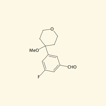 COC1(c2cc(F)cc(C=O)c2)CCOCC1